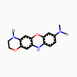 CCN(C)c1ccc2c(c1)Oc1cc3c(cc1N2)OCCN3CC